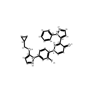 O=c1ccn(-c2ccc(-n3nccc3OCC3CC3)cc2F)nc1-c1ccnn1-c1ccccc1